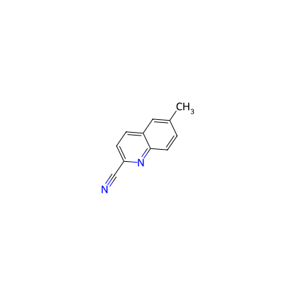 Cc1ccc2nc(C#N)ccc2c1